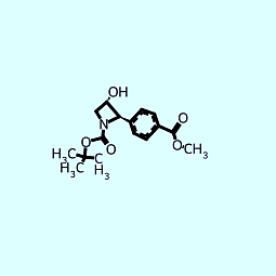 COC(=O)c1ccc([C@@H]2[C@@H](O)CN2C(=O)OC(C)(C)C)cc1